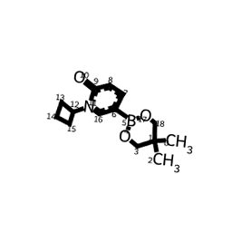 CC1(C)COB(c2ccc(=O)n(C3CCC3)c2)OC1